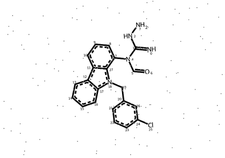 N=C(NN)N(C=O)c1cccc2c3ccccc3n(Cc3cccc(Cl)c3)c12